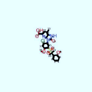 COc1ccccc1C(C)(C)S(=O)(=O)c1cc(-n2c(=O)[nH]c3c(C)cc(C(=O)O)nc32)c(Cl)cc1OC